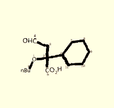 CCCCOC(CC=O)(C(=O)O)C1CCCCC1